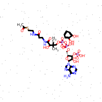 CC(=O)SCCNC(=O)CCNC(=O)C(O)C(C)(C)COP(=O)(O)OP(=O)(O)OC[C@H]1O[C@@H](n2cnc3c(N)ncnc32)[C@H](O)[C@@H]1OP(=O)(O)O.Oc1ccccc1O